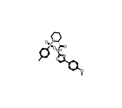 COc1ccc(-c2csc(NC(=O)[C@H]3CCCCN3S(=O)(=O)c3ccc(C)cc3)n2)cc1